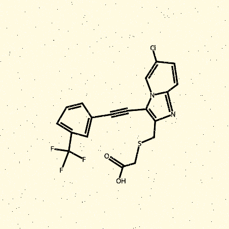 O=C(O)CSCc1nc2ccc(Cl)cn2c1C#Cc1cccc(C(F)(F)F)c1